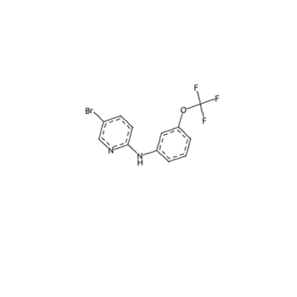 FC(F)(F)Oc1cccc(Nc2ccc(Br)cn2)c1